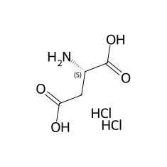 Cl.Cl.N[C@@H](CC(=O)O)C(=O)O